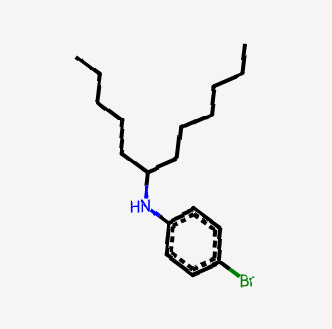 CCCCCCC(CCCCC)Nc1ccc(Br)cc1